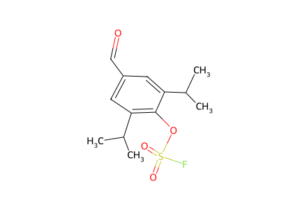 CC(C)c1cc(C=O)cc(C(C)C)c1OS(=O)(=O)F